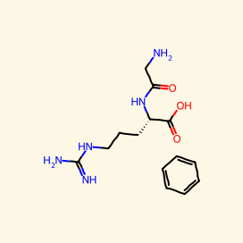 N=C(N)NCCC[C@H](NC(=O)CN)C(=O)O.c1ccccc1